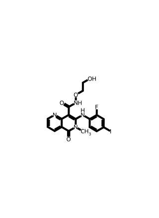 Cn1c(Nc2ccc(I)cc2F)c(C(=O)NOCCO)c2ncccc2c1=O